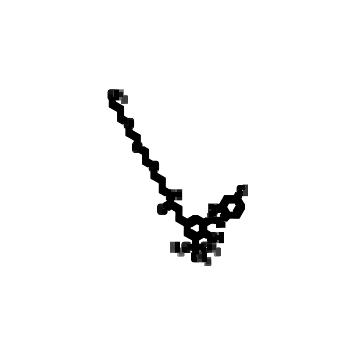 CCCCOCCOCCOCCCNC(=O)CCc1cc(-n2nc3ccc(Cl)cc3n2)c(O)c(C(C)(C)C)c1